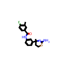 Cc1cc(C(=O)Nc2cccc(C3(C)CCSC(N)=N3)c2)ccc1F